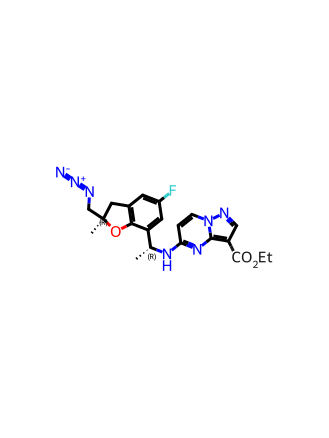 CCOC(=O)c1cnn2ccc(N[C@H](C)c3cc(F)cc4c3O[C@@](C)(CN=[N+]=[N-])C4)nc12